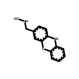 ONCc1ccc2c(c1)Oc1ccccc1N2